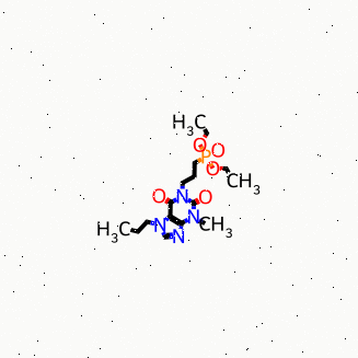 CCCn1cnc2c1c(=O)n(CCCP(=O)(OCC)OCC)c(=O)n2C